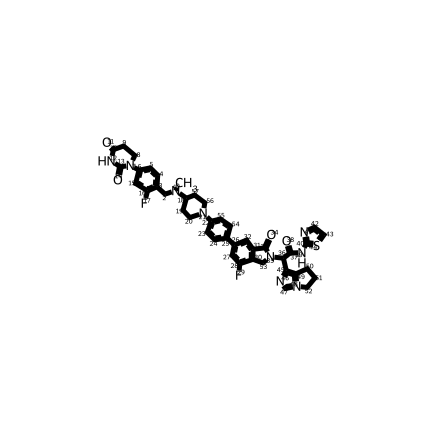 CN(Cc1ccc(N2CCC(=O)NC2=O)cc1F)C1CCN(c2ccc(-c3cc(F)c4c(c3)C(=O)N(C(C(=O)Nc3nccs3)c3ncn5c3CCC5)C4)cc2)CC1